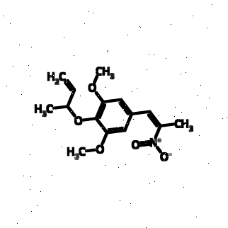 C=CC(C)Oc1c(OC)cc(C=C(C)[N+](=O)[O-])cc1OC